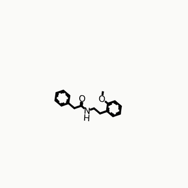 COc1ccccc1CCNC(=O)Cc1ccccc1